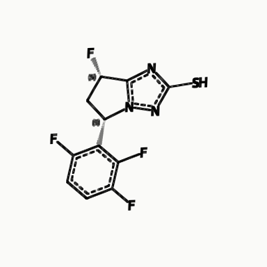 Fc1ccc(F)c([C@@H]2C[C@H](F)c3nc(S)nn32)c1F